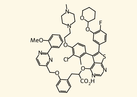 COc1ccccc1-c1nccc(COc2ccccc2CC(Oc2ncnc3sc(-c4ccc(F)c(OC5CCCCO5)c4)c(-c4ccc(OCCN5CCN(C)CC5)c(Cl)c4C)c23)C(=O)O)n1